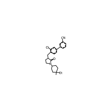 CCC1(C)CCC(N2CCC(Cc3ccc(-c4cccc(C#N)c4)cc3Cl)C2=O)CC1